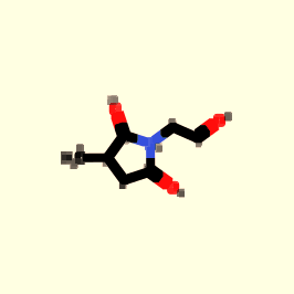 CC1CC(=O)N(CC=O)C1=O